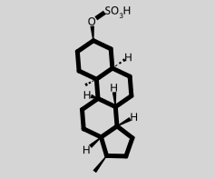 C[C@@H]1CC[C@@H]2[C@H]1CC[C@H]1[C@@H]2CC[C@@H]2C[C@H](OS(=O)(=O)O)CC[C@@]21C